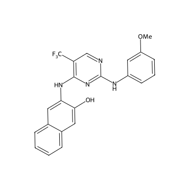 COc1cccc(Nc2ncc(C(F)(F)F)c(Nc3cc4ccccc4cc3O)n2)c1